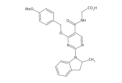 COc1ccc(COc2nc(N3c4ccccc4CC3C)ncc2C(=O)NCC(=O)O)cc1